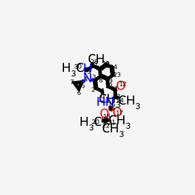 CC/C=C(/NC1CC1)c1c(CC(=O)C(C)NC(=O)OC(C)(C)C)cccc1C(C)CC